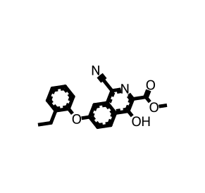 CCc1ccccc1Oc1ccc2c(O)c(C(=O)OC)nc(C#N)c2c1